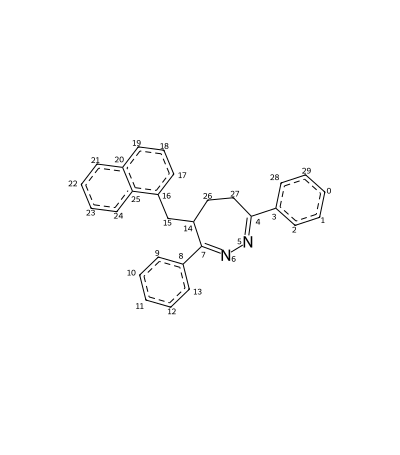 c1ccc(C2=NN=C(c3ccccc3)C(Cc3cccc4ccccc34)CC2)cc1